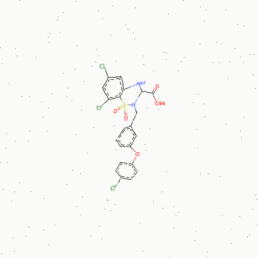 O=C(O)C1Nc2cc(Cl)cc(Cl)c2S(=O)(=O)N1Cc1cccc(Oc2ccc(Cl)cc2)c1